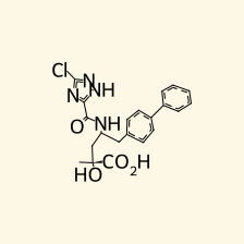 C[C@@](O)(CC(Cc1ccc(-c2ccccc2)cc1)NC(=O)c1nc(Cl)n[nH]1)C(=O)O